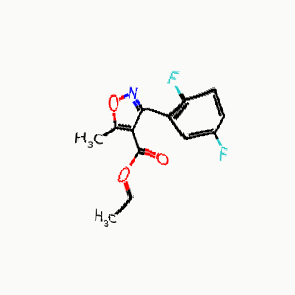 CCOC(=O)c1c(-c2cc(F)ccc2F)noc1C